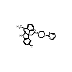 COc1ccccc1C1(CC(=O)N2CCN(c3ncccn3)CC2)C(=O)Nc2ccc(Cl)cc21